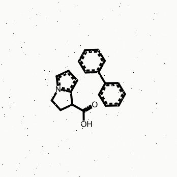 O=C(O)C1CCn2cccc21.c1ccc(-c2ccccc2)cc1